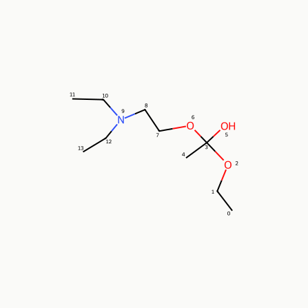 CCOC(C)(O)OCCN(CC)CC